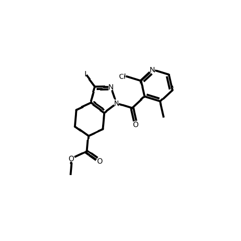 COC(=O)C1CCc2c(I)nn(C(=O)c3c(C)ccnc3Cl)c2C1